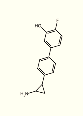 NC1CC1c1ccc(-c2ccc(F)c(O)c2)cc1